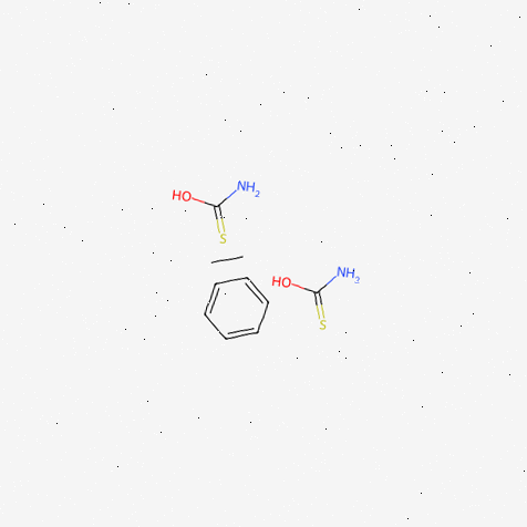 CC.NC(O)=S.NC(O)=S.c1ccccc1